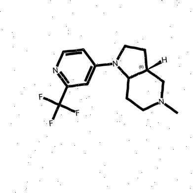 CN1CCC2[C@H](CCN2c2ccnc(C(F)(F)F)c2)C1